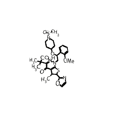 COc1ccccc1C(Cn1nc(C(C)(C)C(=O)O)c(=O)c2c1SC(c1ncco1)C2C)OC1CCN([S+](C)[O-])CC1